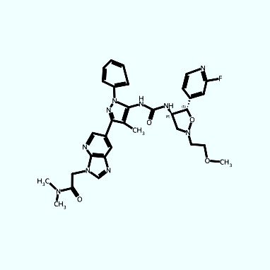 COCCN1C[C@@H](NC(=O)Nc2c(C)c(-c3cnc4c(c3)ncn4CC(=O)N(C)C)nn2-c2ccccc2)[C@H](c2ccnc(F)c2)O1